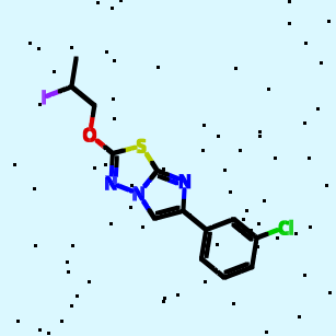 CC(I)COc1nn2cc(-c3cccc(Cl)c3)nc2s1